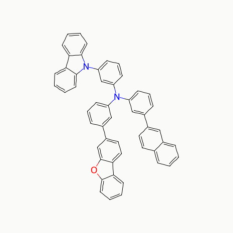 c1cc(-c2ccc3ccccc3c2)cc(N(c2cccc(-c3ccc4c(c3)oc3ccccc34)c2)c2cccc(-n3c4ccccc4c4ccccc43)c2)c1